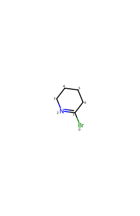 BrC1=NCCCC1